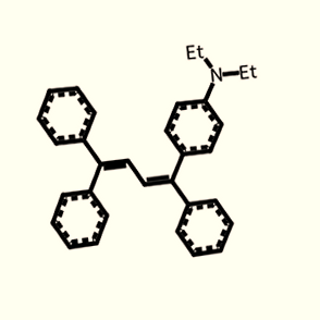 CCN(CC)c1ccc(/C(=C\C=C(c2ccccc2)c2ccccc2)c2ccccc2)cc1